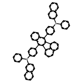 c1ccc(N(c2ccc(-c3c4c(c(-c5ccc(N(c6ccccc6)c6ccc7ccccc7c6)cc5)c5ccccc35)-c3cccc5cccc-4c35)cc2)c2ccc3ccccc3c2)cc1